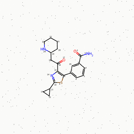 NC(=O)c1cccc(-c2sc(C3CC3)nc2C(=O)[CH]C2CCCCN2)c1